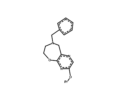 CC(C)Oc1cnc2c(n1)OCCN(Cc1ccccc1)C2